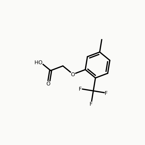 Cc1ccc(C(F)(F)F)c(OCC(=O)O)c1